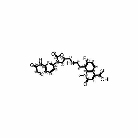 Cn1c(=O)cc(C(=O)O)c2ccc(F)c(CCNCC3CN(c4ccc5c(n4)NC(=O)CO5)C(=O)O3)c21